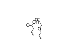 C=CCC(=O)O.C=CCOCC1CO1